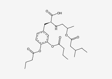 CCCC(=O)Oc1ccc(C[C@H](NCC(C)OC(=O)CC(C)CC)C(=O)O)cc1OC(=O)CCC